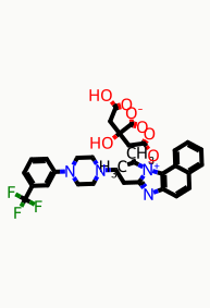 CC(C)[N+]1(OC(=O)CC(O)(CC(=O)O)C(=O)[O-])C(CCN2CCN(c3cccc(C(F)(F)F)c3)CC2)=Nc2ccc3ccccc3c21